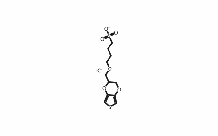 O=S(=O)([O-])CCCCOCC1COc2cscc2O1.[K+]